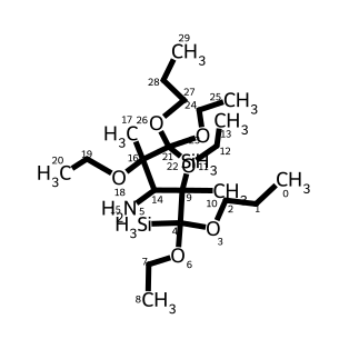 CCCOC([SiH3])(OCC)C(C)(OCC)C(N)C(C)(OCC)C([SiH3])(OCC)OCCC